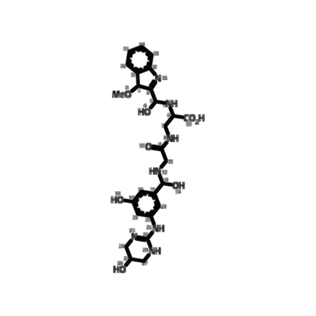 COC1C(C(O)NC(CNC(=O)CNC(O)c2cc(O)cc(NC3=NCC(O)CN3)c2)C(=O)O)=Nc2ccccc21